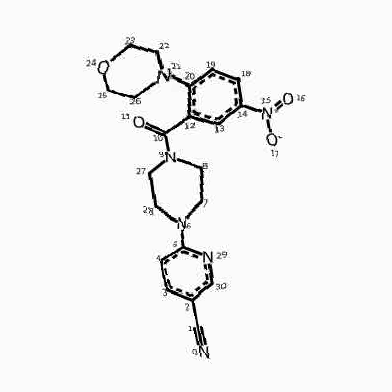 N#Cc1ccc(N2CCN(C(=O)c3cc([N+](=O)[O-])ccc3N3CCOCC3)CC2)nc1